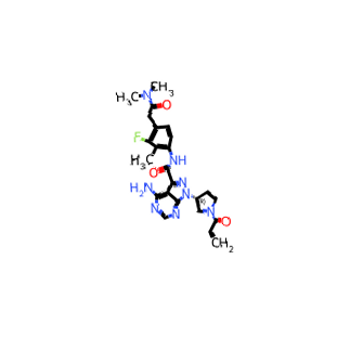 C=CC(=O)N1CC[C@@H](n2nc(C(=O)Nc3ccc(CC(=O)N(C)C)c(F)c3C)c3c(N)ncnc32)C1